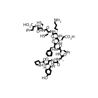 CC(C)C[C@H](NC(=O)[C@H](CS)NC(=O)[C@H](CS)NC(=O)[C@H](CCCCN)NC(=O)[C@H](CCC(=O)O)NC(=O)[C@H](Cc1ccccc1)NC(=O)[C@H](CC(C)C)NC(=O)[C@H](C)NC(=O)[C@@H](NC(=O)[C@H](Cc1ccc(O)cc1)NC(=O)[C@@H]1CCCN1)C(C)C)C(=O)O